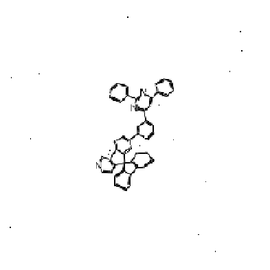 C1=CC2=C(CC1)C1(c3ccccc32)c2ccncc2-c2ccc(-c3cccc(-c4cc(-c5ccccc5)nc(-c5ccccc5)n4)c3)cc21